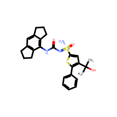 CC(C)(O)c1cc([S@](N)(=O)=NC(=O)Nc2c3c(cc4c2CCC4)CCC3)sc1-c1ccccc1